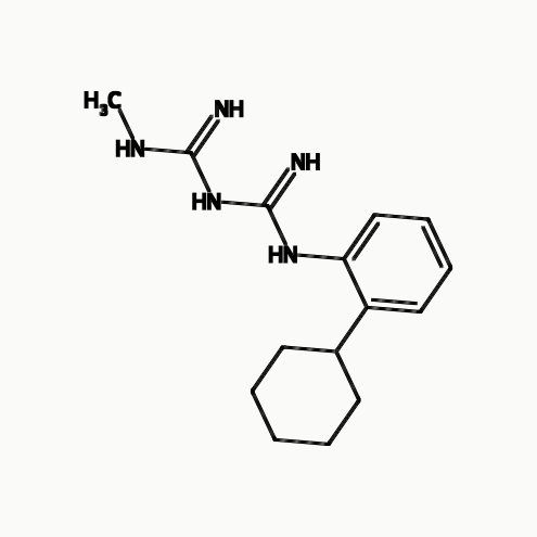 CNC(=N)NC(=N)Nc1ccccc1C1CCCCC1